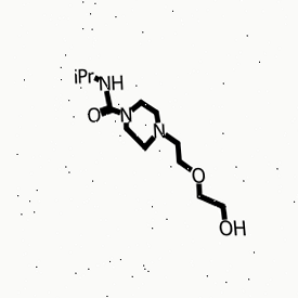 CC(C)NC(=O)N1CCN(CCOCCO)CC1